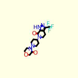 O=C1c2[nH]nc(C(F)(F)F)c2CCN1C1CCN(N2CCOCC2=O)CC1